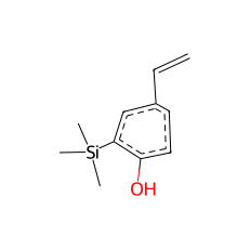 C=Cc1ccc(O)c([Si](C)(C)C)c1